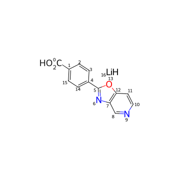 O=C(O)c1ccc(-c2nc3cnccc3o2)cc1.[LiH]